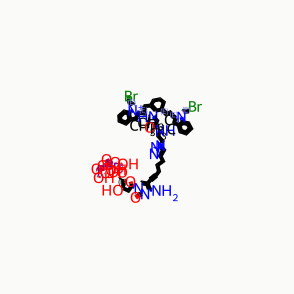 CC1(C)C(/C=C/C2=C(NCC(=O)NCCn3cc(CCCC#Cc4cn(C5CC(O)[C@@H](COP(=O)(O)OP(=O)(O)OP(=O)(O)O)O5)c(=O)nc4N)nn3)C(=C/C=C3/N(/C=C/Br)c4ccccc4C3(C)C)/CCC2)=[N+](/C=C/Br)c2ccccc21